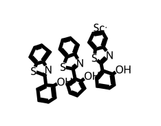 Oc1ccccc1-c1nc2ccccc2s1.Oc1ccccc1-c1nc2ccccc2s1.Oc1ccccc1-c1nc2ccccc2s1.[Sc]